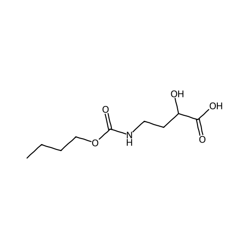 CCCCOC(=O)NCCC(O)C(=O)O